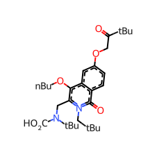 CCCCOc1c(CN(C(=O)O)C(C)(C)C)n(CC(C)(C)C)c(=O)c2ccc(OCC(=O)C(C)(C)C)cc12